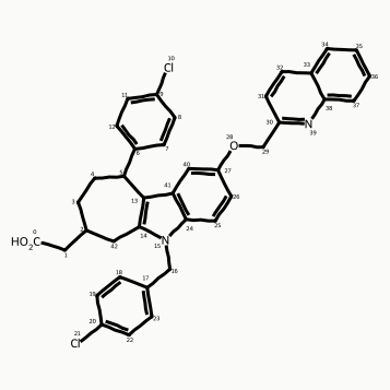 O=C(O)CC1CCC(c2ccc(Cl)cc2)c2c(n(Cc3ccc(Cl)cc3)c3ccc(OCc4ccc5ccccc5n4)cc23)C1